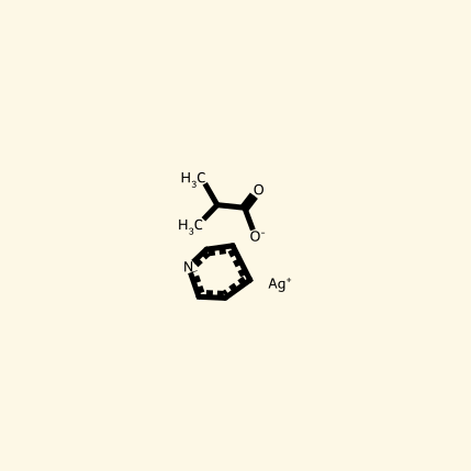 CC(C)C(=O)[O-].[Ag+].c1ccncc1